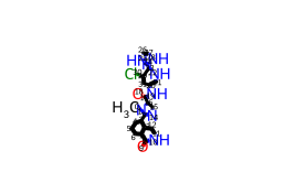 CN1C(c2cccc3c(=O)[nH]ccc23)=NCC1C(=O)NC1=CNC(N2NC=CN2)C(Cl)=C1